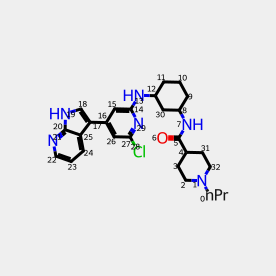 CCCN1CCC(C(=O)NC2CCCC(Nc3cc(-c4c[nH]c5ncccc45)cc(Cl)n3)C2)CC1